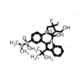 CN(C)S(=O)(=O)c1ccc(N2CC(CO)C(F)(F)C2)c(-c2c(C(C)(C)C)c3ccccc3n2C(=O)O)c1